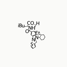 CCC(C)CC(NC(=O)c1ccc2c(c1)nc(Cc1cccs1)n2C1CCCCC1CC)C(=O)O